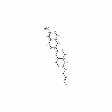 CC=CCCC1CCC2CC(C3CCc4cc(CCC)ccc4C3)CCC2C1